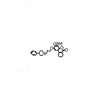 COc1cc2oc(=O)c3c(c2cc1OCCCN1CCC(c2ccccc2)CC1)CCCC3